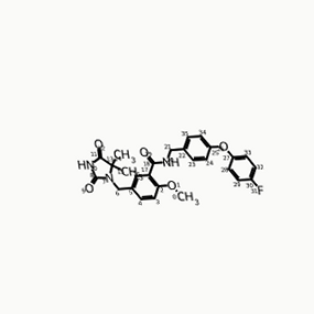 COc1ccc(CN2C(=O)NC(=O)C2(C)C)cc1C(=O)NCc1ccc(Oc2ccc(F)cc2)cc1